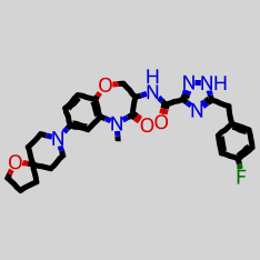 CN1C(=O)C(NC(=O)c2n[nH]c(Cc3ccc(F)cc3)n2)COc2ccc(N3CCC4(CCCO4)CC3)cc21